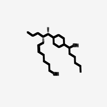 CCCCCC(O)C1CCC([C@@H](C)[C@H](C/C=C\CCCCO)CCC)CC1